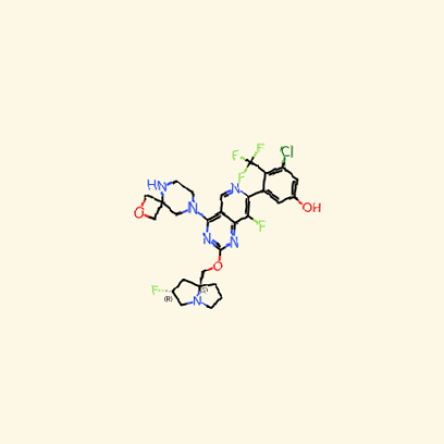 Oc1cc(Cl)c(C(F)(F)F)c(-c2ncc3c(N4CCNC5(COC5)C4)nc(OC[C@@]45CCCN4C[C@H](F)C5)nc3c2F)c1